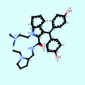 CCN1CCCC1CNC(=O)c1c(C(c2ccc(O)cc2)c2ccc(O)cc2)c2ccccc2n1CCN(C)C